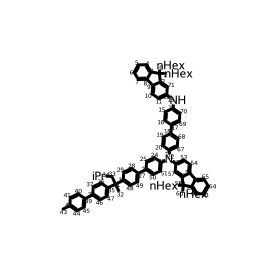 CCCCCCC1(CCCCCC)c2ccccc2-c2ccc(Nc3ccc(-c4ccc(N(c5ccc(-c6ccc(C(C)(CC(C)C)c7ccc(-c8ccc(C)cc8)cc7)cc6)cc5)c5ccc6c(c5)C(CCCCCC)(CCCCCC)c5ccccc5-6)cc4)cc3)cc21